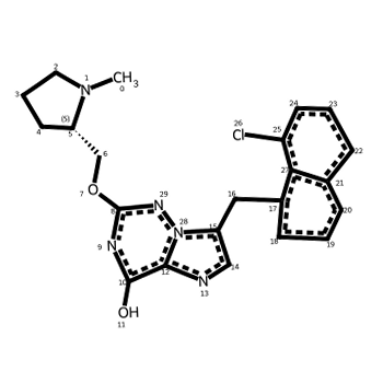 CN1CCC[C@H]1COc1nc(O)c2ncc(Cc3cccc4cccc(Cl)c34)n2n1